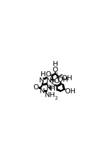 [2H]n1c(N)nc(=O)c2ncn([C@]3(Sc4ccc(O)cc4O)O[C@H](CO)[C@@H](O)[C@H]3O)c21